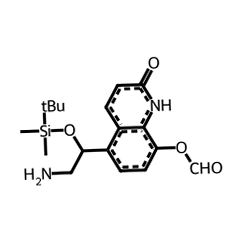 CC(C)(C)[Si](C)(C)OC(CN)c1ccc(OC=O)c2[nH]c(=O)ccc12